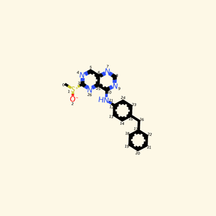 C[S+]([O-])c1ncc2ncnc(Nc3ccc(Cc4ccccc4)cc3)c2n1